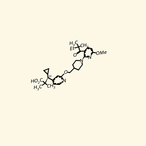 CCC(C)(C)C(=O)c1ccc(OC)nc1N1CCC(COc2cc([C@H](C3CC3)C(C)(C)C(=O)O)ccn2)CC1